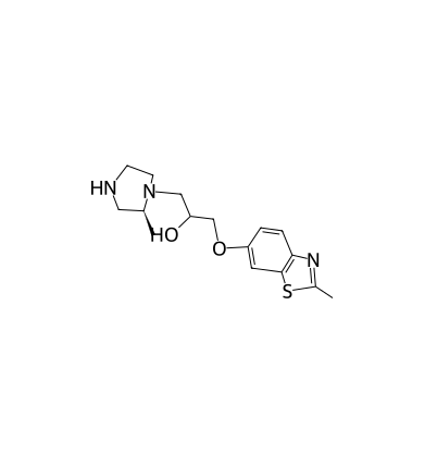 Cc1nc2ccc(OCC(O)CN3CCNC[C@@H]3C)cc2s1